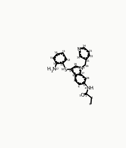 CCC(=O)Nc1ccc2c(Sc3ccccc3N)cn(Cc3cccnc3)c2c1